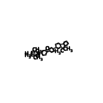 CC1(C)c2ccccc2-c2ccc(-c3ccc4c(c3)oc3cc(B5OC(C)(C)C(C)(C)O5)ccc34)cc21